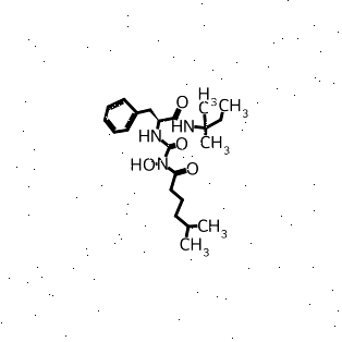 CCC(C)(C)NC(=O)[C@H](Cc1ccccc1)NC(=O)N(O)C(=O)CCCC(C)C